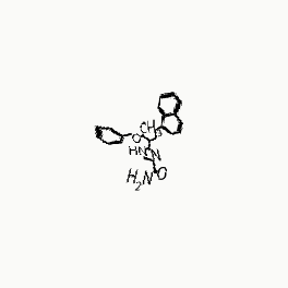 C[C@H](OCc1ccccc1)C(CCc1cccc2ccccc12)c1nc(C(N)=O)c[nH]1